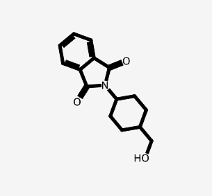 O=C1c2ccccc2C(=O)N1C1CCC(CO)CC1